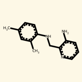 Cc1ccc(NCc2ncccc2N)c(C)c1